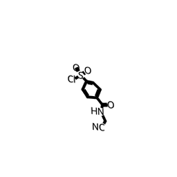 N#CCNC(=O)c1ccc(S(=O)(=O)Cl)cc1